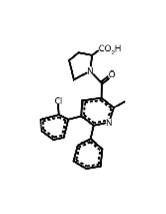 Cc1nc(-c2ccccc2)c(-c2ccccc2Cl)cc1C(=O)N1CCCC1C(=O)O